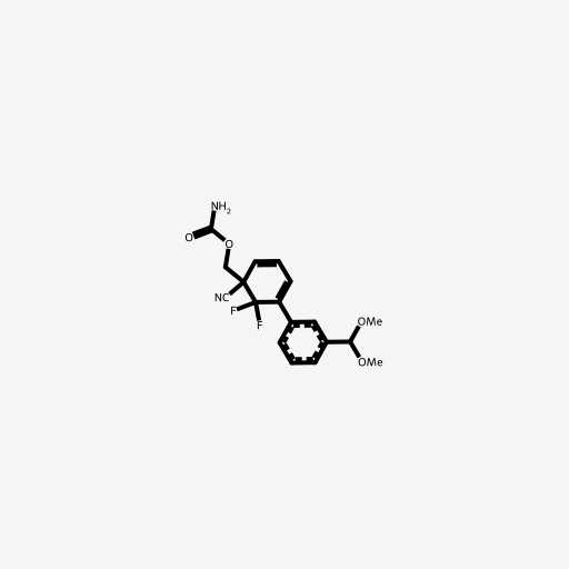 COC(OC)c1cccc(C2=CC=CC(C#N)(COC(N)=O)C2(F)F)c1